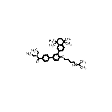 CCN(CC)C(=O)c1ccc(-c2ccc(OCCCCNC(C)C)c(-c3ccc4c(c3)C(C)(C)CCC4(C)C)c2)cc1